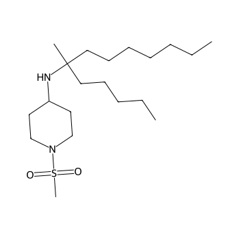 CCCCCCCC(C)(CCCCC)NC1CCN(S(C)(=O)=O)CC1